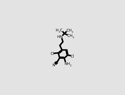 CC(C)(C)NCCc1cc(Cl)c(N)c(C#N)c1Cl